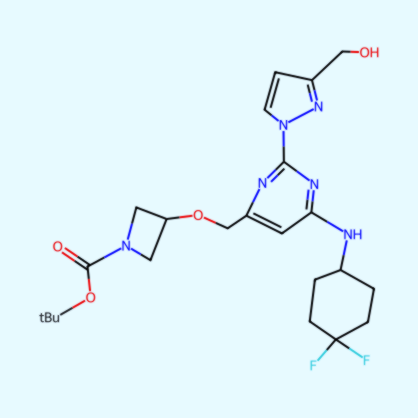 CC(C)(C)OC(=O)N1CC(OCc2cc(NC3CCC(F)(F)CC3)nc(-n3ccc(CO)n3)n2)C1